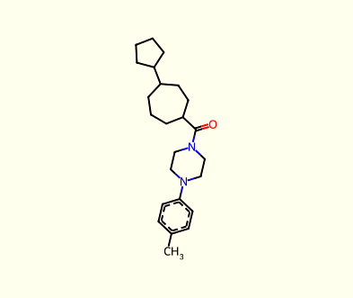 Cc1ccc(N2CCN(C(=O)C3CCCC(C4CCCC4)CC3)CC2)cc1